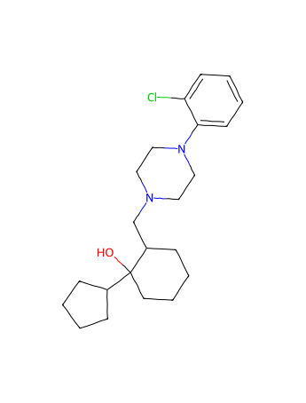 OC1(C2CCCC2)CCCCC1CN1CCN(c2ccccc2Cl)CC1